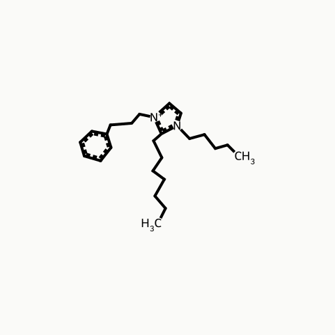 CCCCCCCc1n(CCCCC)cc[n+]1CCCc1ccccc1